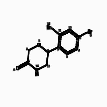 O=C1COC(c2ccc(Br)cc2Br)CN1